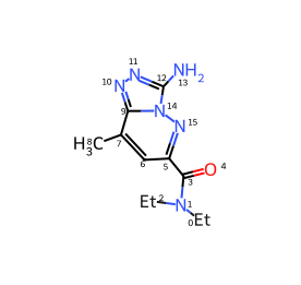 CCN(CC)C(=O)c1cc(C)c2nnc(N)n2n1